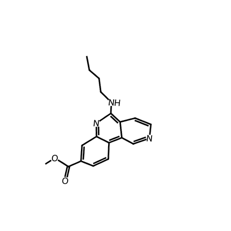 CCCCNc1nc2cc(C(=O)OC)ccc2c2cnccc12